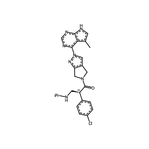 Cc1c[nH]c2ncnc(-n3cc4c(n3)CN(C(=O)[C@H](CNC(C)C)c3ccc(Cl)cc3)C4)c12